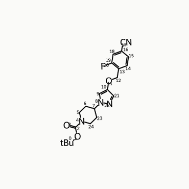 CC(C)(C)OC(=O)N1CCC(n2cc(OCc3ccc(C#N)cc3F)cn2)CC1